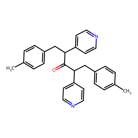 Cc1ccc(CC(C(=O)C(Cc2ccc(C)cc2)c2ccncc2)c2ccncc2)cc1